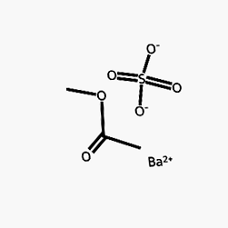 COC(C)=O.O=S(=O)([O-])[O-].[Ba+2]